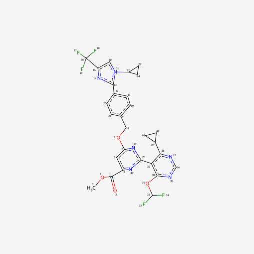 COC(=O)c1cc(OCc2ccc(-c3nc(C(F)(F)F)cn3C3CC3)cc2)nc(-c2c(OC(F)F)ncnc2C2CC2)n1